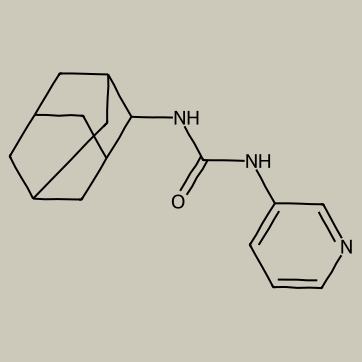 O=C(Nc1cccnc1)NC1C2CC3CC(C2)CC1C3